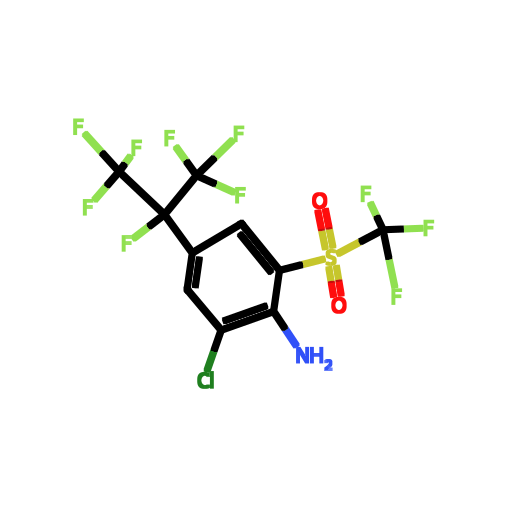 Nc1c(Cl)cc(C(F)(C(F)(F)F)C(F)(F)F)cc1S(=O)(=O)C(F)(F)F